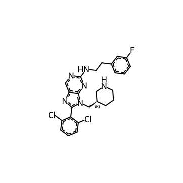 Fc1cccc(CCNc2ncc3nc(-c4c(Cl)cccc4Cl)n(C[C@@H]4CCCNC4)c3n2)c1